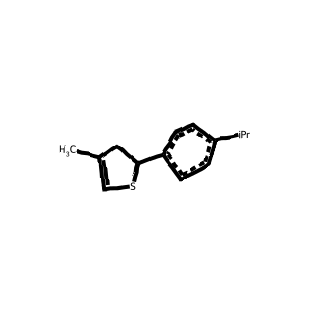 CC1=CSC(c2ccc(C(C)C)cc2)C1